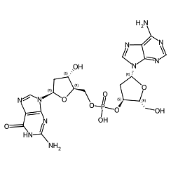 Nc1nc2c(ncn2[C@H]2C[C@H](O)[C@@H](COP(=O)(O)O[C@H]3C[C@H](n4cnc5c(N)ncnc54)O[C@@H]3CO)O2)c(=O)[nH]1